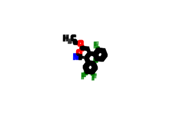 CCOC(=O)C[C@@H](c1c(F)cccc1F)[C@@H](C#N)c1ccc(F)c(F)c1